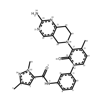 Cc1cc(C(=O)Nc2cccc(-n3ccc(C)c(N4CCc5nc(N)ncc5C4)c3=O)c2)n(C)n1